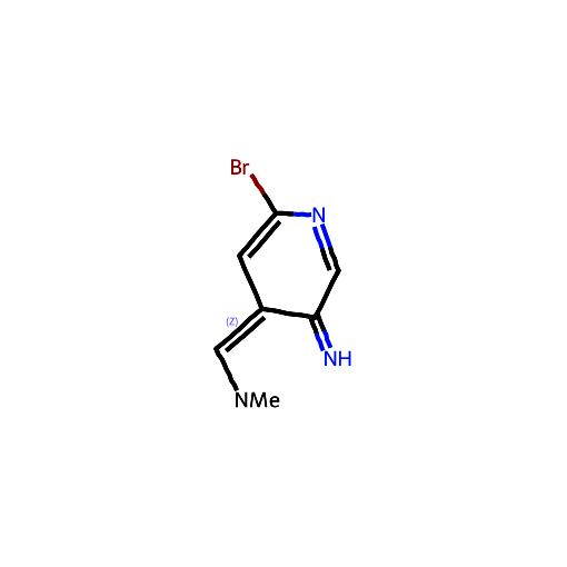 CN/C=C1/C=C(Br)N=CC1=N